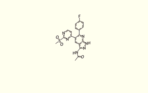 CC(=O)Nc1n[nH]c2nc(-c3ccc(F)cc3)c(-c3ccnc(S(C)(=O)=O)n3)cc12